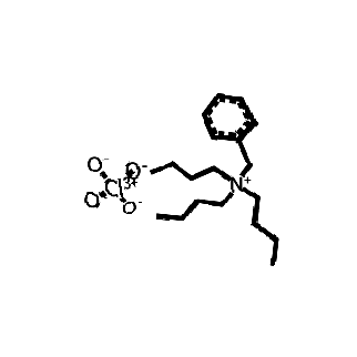 CCCC[N+](CCCC)(CCCC)Cc1ccccc1.[O-][Cl+3]([O-])([O-])[O-]